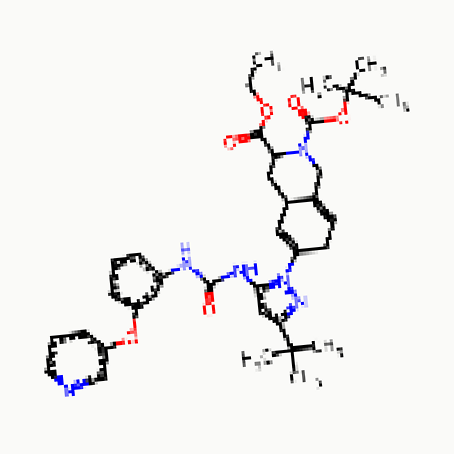 CCOC(=O)C1CC2C=C(n3nc(C(C)(C)C)cc3NC(=O)Nc3cccc(Oc4cccnc4)c3)CC=C2CN1C(=O)OC(C)(C)C